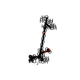 CC(C)Cn1cnc2c(NC(=O)OCc3ccc(O[C@@H]4O[C@H](C(=O)O)[C@@H](O)[C@H](O)[C@H]4O)c(NC(=O)C(CNC(=O)CCOCCOCCOCCOCCOCCOCCOCCOCCN(C[C@H](O)[C@@H](O)[C@H](O)[C@H](O)CO)C[C@H](O)[C@@H](O)[C@H](O)[C@H](O)CO)NC(=O)CCCCCN4C(=O)C=CC4=O)c3)nc3ccccc3c21